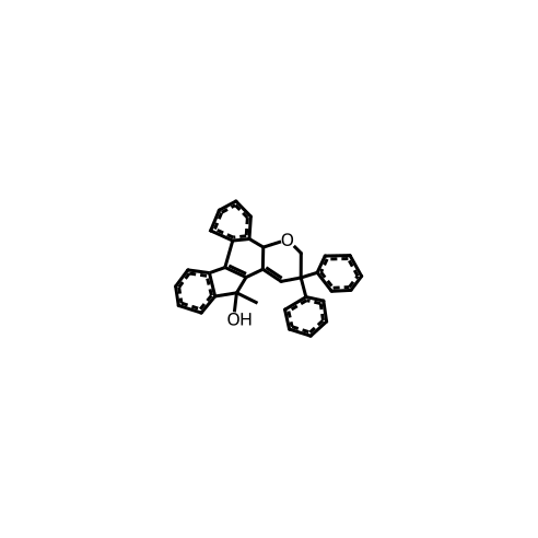 CC1(O)C2=C(c3ccccc3C3OCC(c4ccccc4)(c4ccccc4)C=C23)c2ccccc21